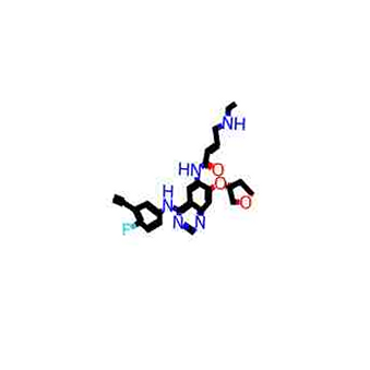 C#Cc1cc(Nc2ncnc3cc(O[C@H]4CCOC4)c(NC(=O)C=CCNCC)cc23)ccc1F